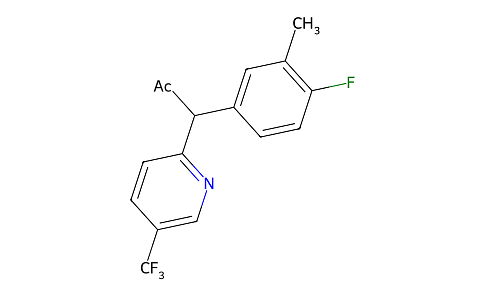 CC(=O)C(c1ccc(F)c(C)c1)c1ccc(C(F)(F)F)cn1